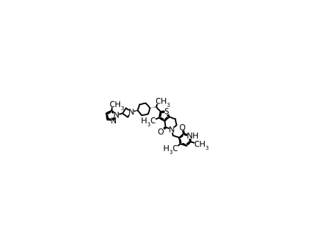 Cc1cc(C)c(CN2CCc3sc(C(C)[C@H]4CC[C@H](N5CC(n6nccc6C)C5)CC4)c(C)c3C2=O)c(=O)[nH]1